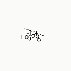 CCC(C(=O)O)c1ccc(Oc2ccccc2)cc1.CCCCCCCCNCCCCCCCC